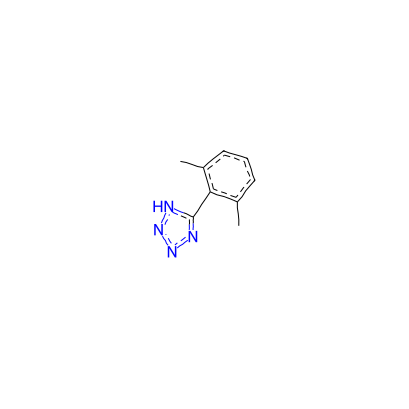 Cc1cccc(C)c1-c1nnn[nH]1